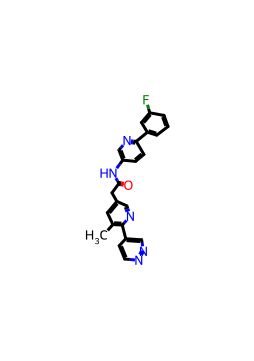 Cc1cc(CC(=O)Nc2ccc(-c3cccc(F)c3)nc2)cnc1-c1ccnnc1